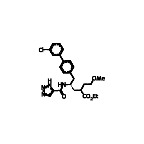 CCOC(=O)[C@H](CCOC)C[C@@H](Cc1ccc(-c2cccc(Cl)c2)cc1)NC(=O)c1cnn[nH]1